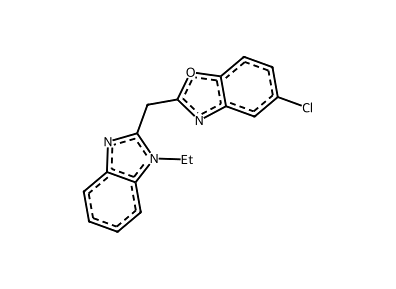 CCn1c(Cc2nc3cc(Cl)ccc3o2)nc2ccccc21